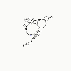 COC(=O)[C@@]1(O)CC(=O)N(C)CC/C=C/[C@H](OCCN2CC(F)C2)[C@@H]2CC[C@H]2CN2CCCCc3cc(Cl)ccc3COc3ccc1cc32